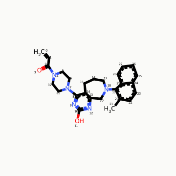 C=CC(=O)N1CCN(c2nc(O)nc3c2CCCN(c2c(C)ccc4ccccc24)C3)CC1